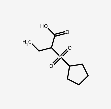 CCC(C(=O)O)S(=O)(=O)C1CCCC1